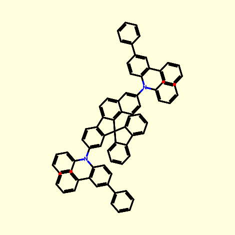 c1ccc(-c2ccc(N(c3ccccc3)c3ccc4c(c3)C3(c5ccccc5-c5ccccc53)c3c-4ccc4cc(N(c5ccccc5)c5ccc(-c6ccccc6)cc5-c5ccccc5)ccc34)c(-c3ccccc3)c2)cc1